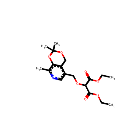 CCOC(=O)C(OCc1cnc(C)c2c1COC(C)(C)O2)C(=O)OCC